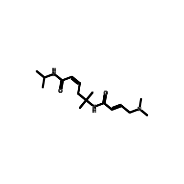 CC(C)NC(=O)/C=C\CC(C)(C)NC(=O)/C=C/CN(C)C